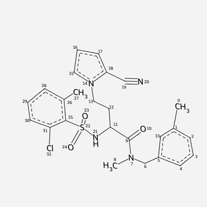 Cc1cccc(CN(C)C(=O)C(CCn2cccc2C#N)NS(=O)(=O)c2c(C)cccc2Cl)c1